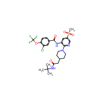 CC(C)(C)NC(=O)CC1CCN(c2ncc(S(C)(=O)=O)cc2NC(=O)c2ccc(OC(F)(F)F)c(Cl)c2)CC1